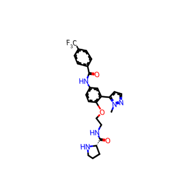 Cn1nccc1-c1cc(NC(=O)c2ccc(C(F)(F)F)cc2)ccc1OCCNC(=O)[C@@H]1CCCN1